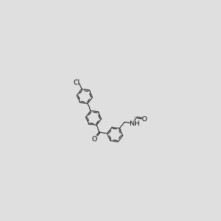 O=[C]NCc1cccc(C(=O)c2ccc(-c3ccc(Cl)cc3)cc2)c1